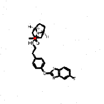 CC(=O)N1[C@@H]2CC[C@H]1C[C@@H](NCCc1ccc(Oc3nc4cc(F)ccc4s3)cc1)C2